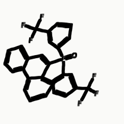 O=P(c1cccc(C(F)(F)F)c1)(c1cccc(C(F)(F)F)c1)c1cc2ccccc2c2ccccc12